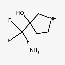 N.OC1(C(F)(F)F)CCNC1